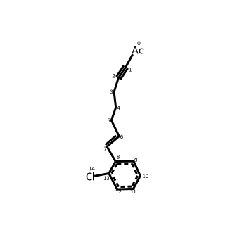 CC(=O)C#CCCC/C=C/c1ccccc1Cl